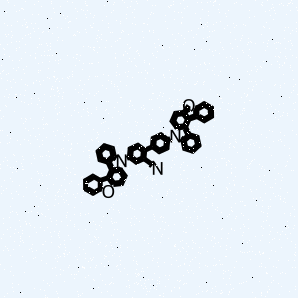 N#Cc1cc(-n2c3ccccc3c3c4c(ccc32)OC2C=CC=CC42)ccc1-c1ccc(-n2c3ccccc3c3c4c(ccc32)oc2ccccc24)cc1